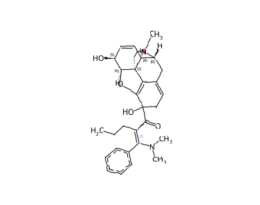 CCC/C(C(=O)C1(O)CC=C2C[C@@H]3[C@@H]4C=C[C@H](O)[C@@H]5OC1=C2[C@]45CCN3C)=C(\c1ccccc1)N(C)C